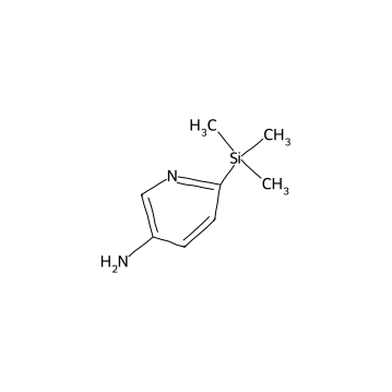 C[Si](C)(C)c1ccc(N)cn1